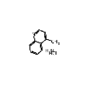 Cc1ccnc2ccccc12.Cl.N